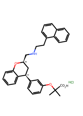 CC(C)(Oc1cccc([C@@H]2C[C@H](CNCCc3cccc4ccccc34)Oc3ccccc32)c1)C(=O)O.Cl